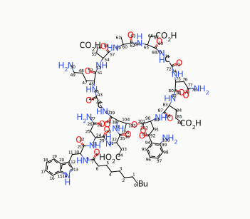 CCC(C)CCCCCCC(=O)NC(Cc1c[nH]c2ccccc12)C(=O)NC(CC(N)=O)C(=O)NC(CC(=O)O)C(=O)NC1C(=O)NCC(=O)NC(CCCN)C(=O)NC(CC(=O)O)C(=O)NC(C)C(=O)NC(CC(=O)O)C(=O)NCC(=O)NC(CC(N)=O)C(=O)NC(CCC(=O)O)C(=O)NC(CC(=O)c2ccccc2N)C(=O)OC1C